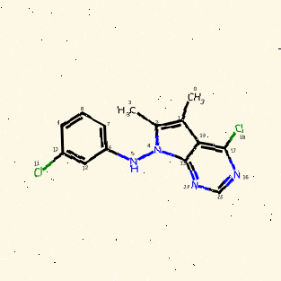 Cc1c(C)n(Nc2cccc(Cl)c2)c2ncnc(Cl)c12